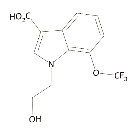 O=C(O)c1cn(CCO)c2c(OC(F)(F)F)cccc12